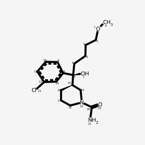 COCCCC[C@@](O)(c1cccc(Cl)c1)[C@@H]1CCCN(C(N)=O)C1